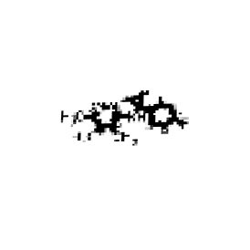 Cc1nnc(NC2(c3ccc(F)cc3)CC2)c(C)c1C